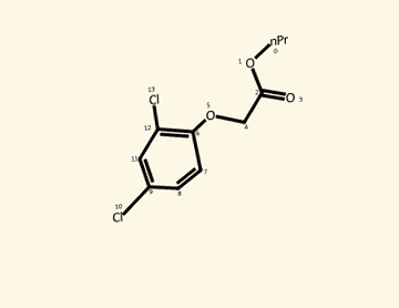 CCCOC(=O)COc1ccc(Cl)cc1Cl